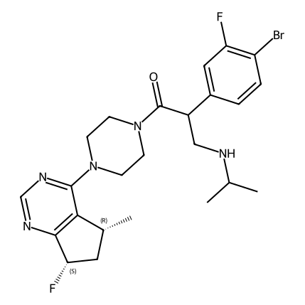 CC(C)NCC(C(=O)N1CCN(c2ncnc3c2[C@H](C)C[C@@H]3F)CC1)c1ccc(Br)c(F)c1